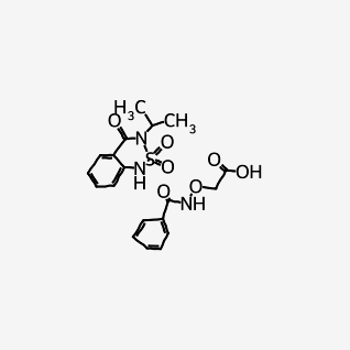 CC(C)N1C(=O)c2ccccc2NS1(=O)=O.O=C(O)CONC(=O)c1ccccc1